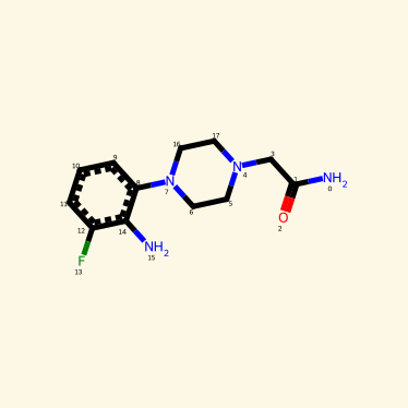 NC(=O)CN1CCN(c2cccc(F)c2N)CC1